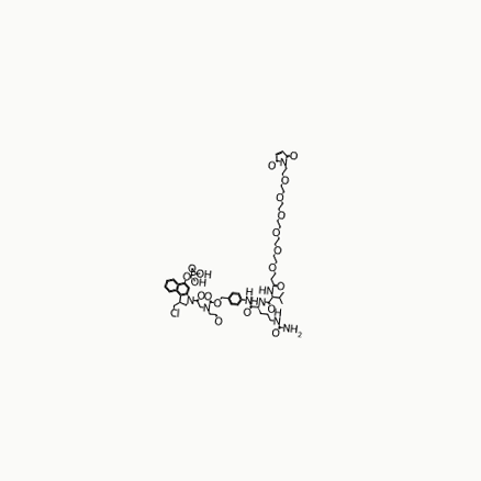 CC(C)C(NC(=O)CCOCCOCCOCCOCCOCCOCCN1C(=O)C=CC1=O)C(=O)N[C@@H](CCCNC(N)=O)C(=O)Nc1ccc(COC(=O)N(CC=O)CC(=O)N2CC(CCl)c3c2cc(OP(=O)(O)O)c2ccccc32)cc1